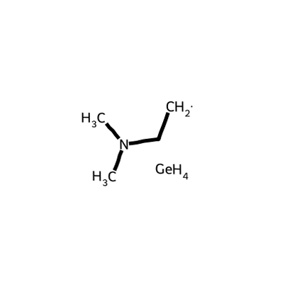 [CH2]CN(C)C.[GeH4]